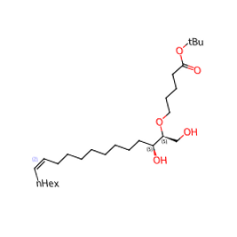 CCCCCC/C=C\CCCCCCCC[C@H](O)[C@H](CO)OCCCCC(=O)OC(C)(C)C